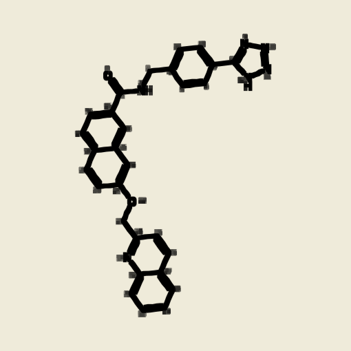 O=C(NCc1ccc(-c2nnn[nH]2)cc1)c1ccc2ccc(OCc3ccc4ccccc4n3)cc2c1